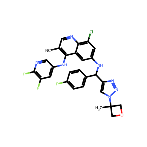 CC1(n2cc(C(Nc3cc(Cl)c4ncc(C#N)c(Nc5cnc(F)c(F)c5)c4c3)c3ccc(F)cc3)nn2)COC1